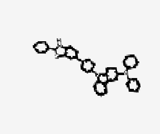 c1ccc(C2Nc3ccc(-c4ccc(-n5c6ccccc6c6cc(N(c7ccccc7)c7ccccc7)ccc65)cc4)cc3S2)cc1